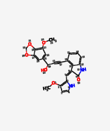 COc1cc[nH]c1/C=C1\C(=O)Nc2cccc(C#CC(O)c3cc(OC)c4c(c3)OCO4)c21